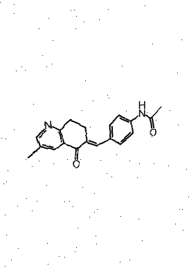 CC(=O)Nc1ccc(/C=C2\CCc3ncc(C)cc3C2=O)cc1